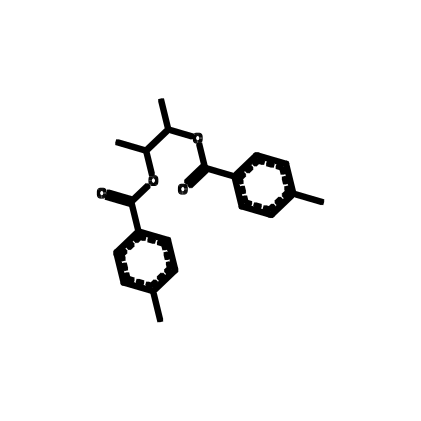 Cc1ccc(C(=O)OC(C)C(C)OC(=O)c2ccc(C)cc2)cc1